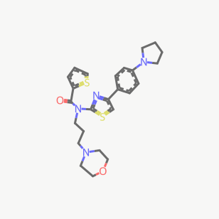 O=C(c1cccs1)N(CCCN1CCOCC1)c1nc(-c2ccc(N3CCCC3)cc2)cs1